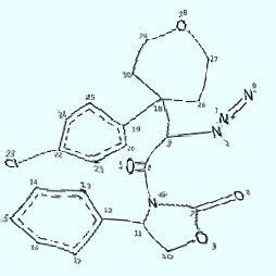 [N-]=[N+]=NC(C(=O)N1C(=O)OCC1c1ccccc1)C1(c2ccc(Cl)cc2)CCOCC1